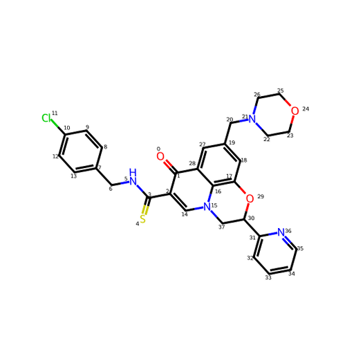 O=c1c(C(=S)NCc2ccc(Cl)cc2)cn2c3c(cc(CN4CCOCC4)cc13)OC(c1ccccn1)C2